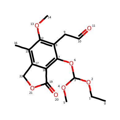 CCOC(OC)Oc1c(CC=O)c(OC)c(C)c2c1C(=O)OC2